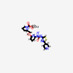 CC(C)(C)OC(=O)N1CCCC1COc1cccc(NC(=O)Nc2csc(-c3ccncc3)n2)n1